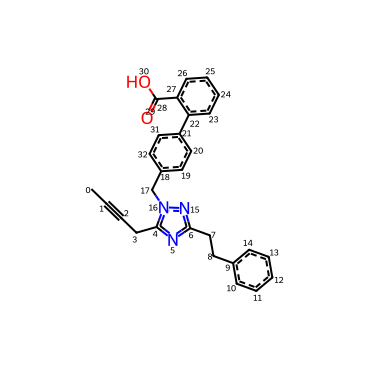 CC#CCc1nc(CCc2ccccc2)nn1Cc1ccc(-c2ccccc2C(=O)O)cc1